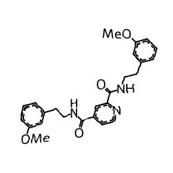 COc1cccc(CCNC(=O)c2ccnc(C(=O)NCCc3cccc(OC)c3)c2)c1